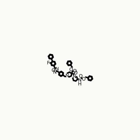 O=C(NC1CCCN(C(=O)C2(C(=O)OCc3ccccc3)CCN(Cc3ccc(-c4noc(-c5ccc(-c6ccccc6)c(F)c5)n4)cc3)CC2)C1)OCc1ccccc1